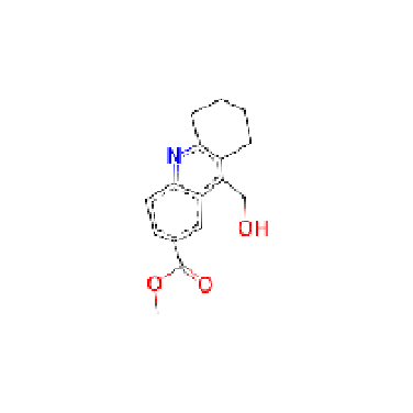 COC(=O)c1ccc2nc3c(c(CO)c2c1)CCCC3